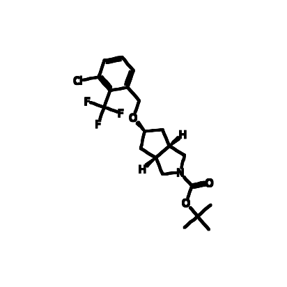 CC(C)(C)OC(=O)N1C[C@H]2C[C@H](OCc3cccc(Cl)c3C(F)(F)F)C[C@H]2C1